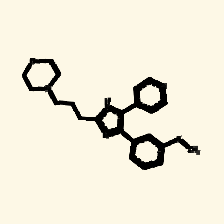 CSc1cccc(-c2nc(CCCN3CCOCC3)[nH]c2-c2ccncc2)c1